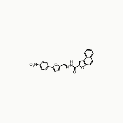 O=C(NN=Cc1ccc(-c2ccc([N+](=O)[O-])cc2)o1)c1cc2c(ccc3ccccc32)o1